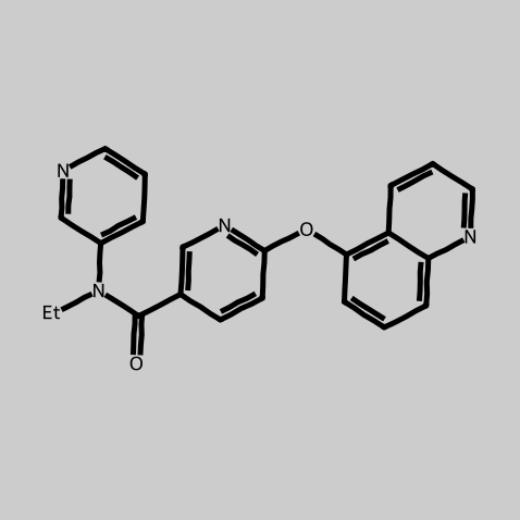 CCN(C(=O)c1ccc(Oc2cccc3ncccc23)nc1)c1cccnc1